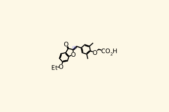 CCOc1ccc2c(c1)O/C(=C\c1cc(C)c(OCC(=O)O)c(C)c1)C2=O